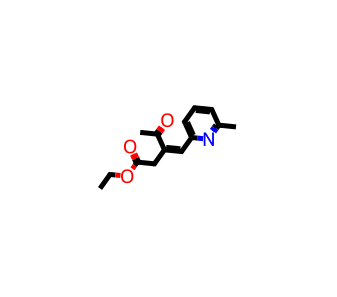 CCOC(=O)CC(=Cc1cccc(C)n1)C(C)=O